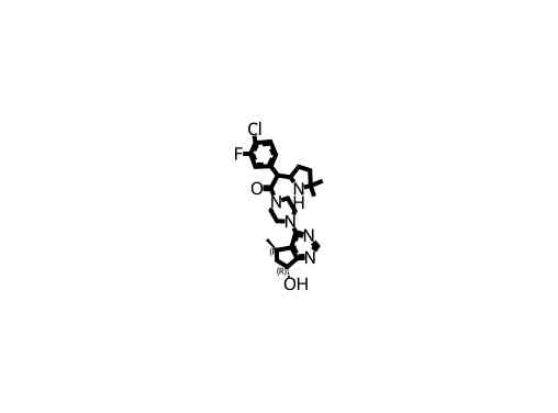 C[C@@H]1C[C@@H](O)c2ncnc(N3CCN(C(=O)C(c4ccc(Cl)c(F)c4)C4CCC(C)(C)N4)CC3)c21